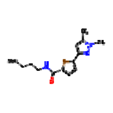 COCCCNC(=O)c1ccc(-c2cc(C(F)(F)F)n(C)n2)s1